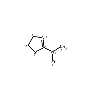 CCN(C)C1=NCCS1